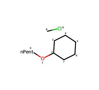 CCCCCOC1CCCCC1.CCl